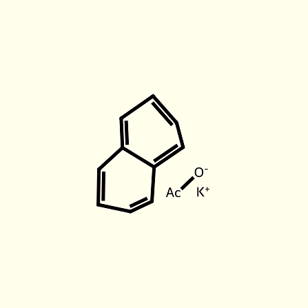 CC(=O)[O-].[K+].c1ccc2ccccc2c1